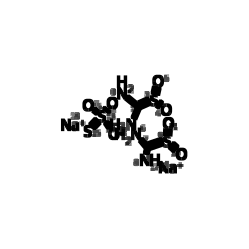 NC(N)=S(=O)=O.NC(N)=S(=O)=O.O=S([O-])([O-])=S.[Na+].[Na+]